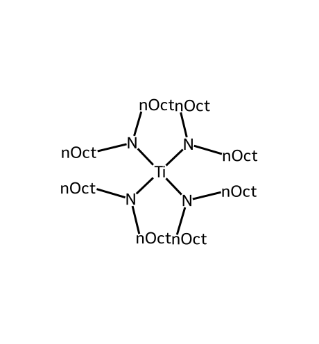 CCCCCCCC[N](CCCCCCCC)[Ti]([N](CCCCCCCC)CCCCCCCC)([N](CCCCCCCC)CCCCCCCC)[N](CCCCCCCC)CCCCCCCC